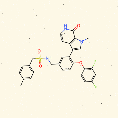 Cc1ccc(CS(=O)(=O)NCc2ccc(Oc3ccc(F)cc3F)c(-c3cn(C)c4c(=O)[nH]ccc34)c2)cc1